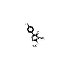 CSc1nnc(-c2ccc(Cl)cc2)c(=O)n1N